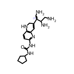 N/C=C(/C1=Cc2nc(NC(=O)NC3CCCC3)ccc2NC1)C(N)CN